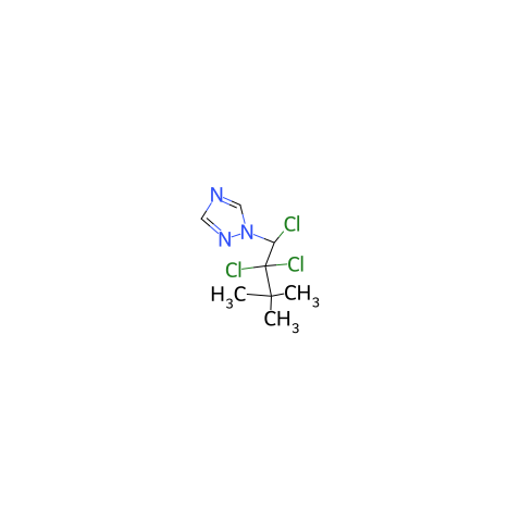 CC(C)(C)C(Cl)(Cl)C(Cl)n1cncn1